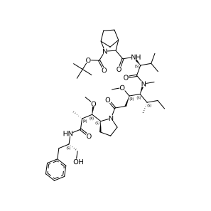 CC[C@H](C)[C@@H]([C@@H](CC(=O)N1CCC[C@H]1[C@H](OC)[C@@H](C)C(=O)N[C@H](CO)Cc1ccccc1)OC)N(C)C(=O)[C@@H](NC(=O)C1C2CCC(C2)N1C(=O)OC(C)(C)C)C(C)C